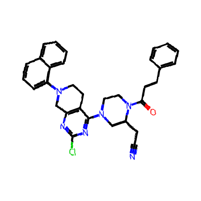 N#CCC1CN(c2nc(Cl)nc3c2CCN(c2cccc4ccccc24)C3)CCN1C(=O)CCc1ccccc1